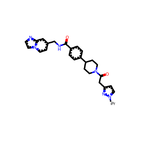 CC(C)n1ccc(CC(=O)N2CCC(c3ccc(C(=O)NCc4ccn5ccnc5c4)cc3)CC2)n1